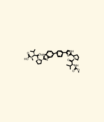 COC(=O)N[C@H](C(=O)N1CCCC1c1nc(-c2ccc(-c3ccc4[nH]c([C@@H]5CCCN5C(=O)[C@H](C(C)C)N(C)C(=O)O)nc4c3)cc2)c[nH]1)C(C)C